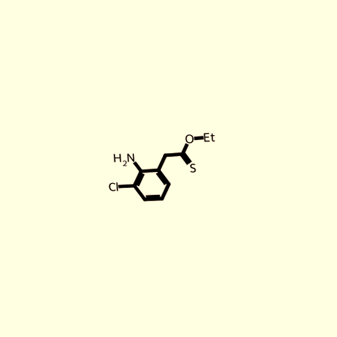 CCOC(=S)Cc1cccc(Cl)c1N